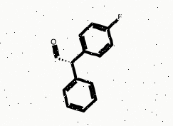 O=C[C@@H](c1ccccc1)c1ccc(F)cc1